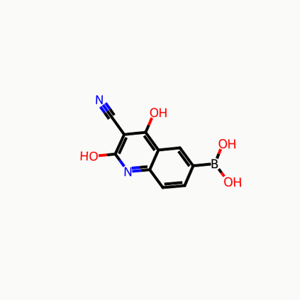 N#Cc1c(O)nc2ccc(B(O)O)cc2c1O